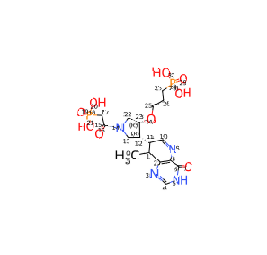 CC1c2nc[nH]c(=O)c2N=CC1[C@@H]1CN(C(=O)CP(=O)(O)O)C[C@@H]1OCCCP(=O)(O)O